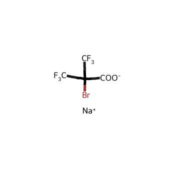 O=C([O-])C(Br)(C(F)(F)F)C(F)(F)F.[Na+]